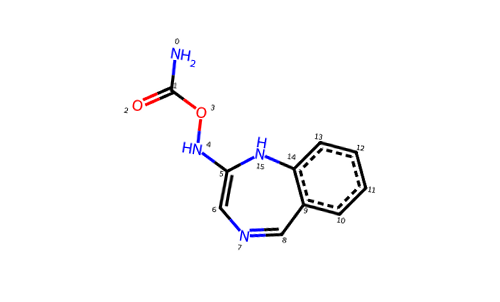 NC(=O)ONC1=CN=Cc2ccccc2N1